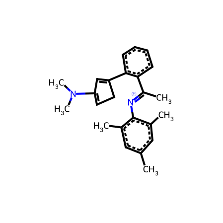 C/C(=N\c1c(C)cc(C)cc1C)c1ccccc1C1=CC(N(C)C)=CC1